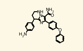 NC(=O)c1c(-c2ccc(Oc3ccccc3)cc2)nc2n1NCCC2c1ccc(N)cc1